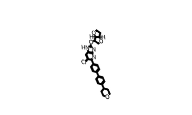 Clc1cc2[nH]c(OC3CO[C@@H]4CCO[C@H]34)nc2nc1-c1ccc(-c2ccc(C3CCOCC3)cc2)cc1